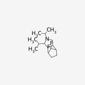 CC(C)C1C2C(CN1C(C)C)C1CCC2C1(F)F